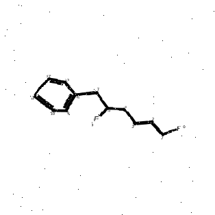 FCCCCC(F)Cc1ccccc1